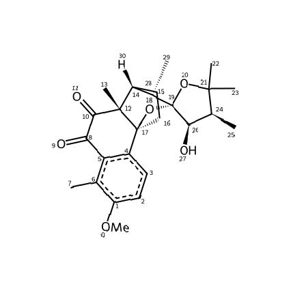 COc1ccc2c(c1C)C(=O)C(=O)[C@]1(C)[C@@H]3CC[C@]21O[C@@]1(OC(C)(C)[C@@H](C)[C@H]1O)[C@H]3C